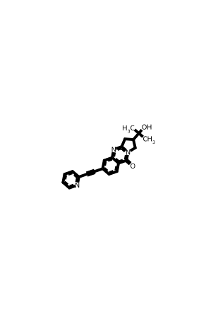 CC(C)(O)C1Cc2nc3cc(C#Cc4ccccn4)ccc3c(=O)n2C1